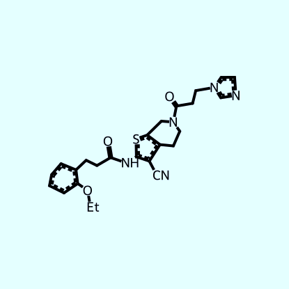 CCOc1ccccc1CCC(=O)Nc1sc2c(c1C#N)CCN(C(=O)CCn1ccnc1)C2